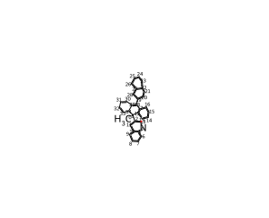 CC1(c2cnc3ccccc3c2)c2ccccc2C(c2ccc3ccccc3c2)=C2C=CC=CC21